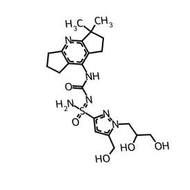 CC1(C)CCc2c1nc1c(c2NC(=O)N=S(N)(=O)c2cc(CO)n(CC(O)CO)n2)CCC1